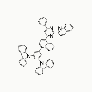 c1ccc(-c2cc(-c3ccc(-c4cc(-n5c6ccccc6c6ccccc65)cc(-n5c6ccccc6c6ccccc65)c4)c4ccccc34)nc(-c3ccc4ccccc4n3)n2)cc1